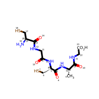 C[C@H](NC(=O)[C@H](CS)NC(=O)CNC(=O)[C@@H](N)CS)C(=O)NCC(=O)O